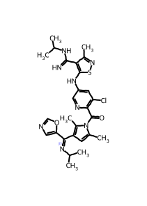 Cc1nsc(Nc2cnc(C(=O)n3c(C)cc(/C(=N\C(C)C)c4cnco4)c3C)c(Cl)c2)c1C(=N)NC(C)C